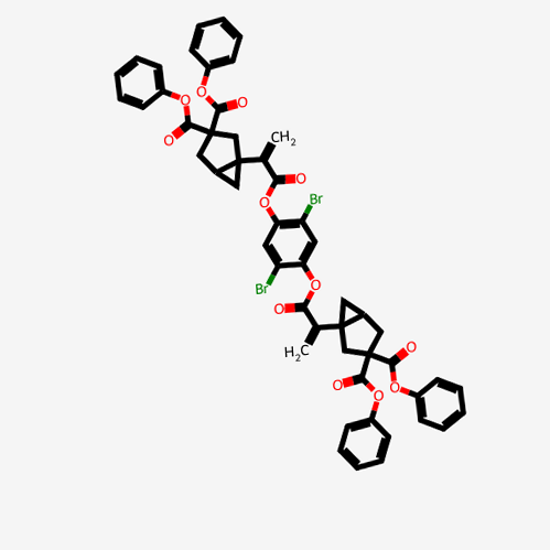 C=C(C(=O)Oc1cc(Br)c(OC(=O)C(=C)C23CC2CC(C(=O)Oc2ccccc2)(C(=O)Oc2ccccc2)C3)cc1Br)C12CC1CC(C(=O)Oc1ccccc1)(C(=O)Oc1ccccc1)C2